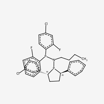 CCCCN(P(c1ccc(Cl)cc1F)c1ccc(Cl)cc1F)P1[C@@H](c2ccccc2)CC[C@@H]1c1ccccc1